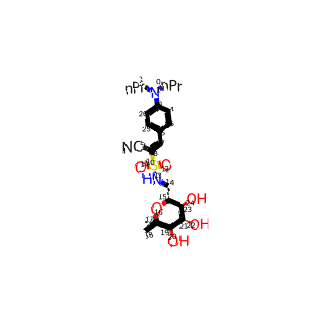 CCCN(CCC)c1ccc(/C=C(\C#N)S(=O)(=O)NC[C@H]2OC(C)[C@H](O)[C@@H](O)[C@@H]2O)cc1